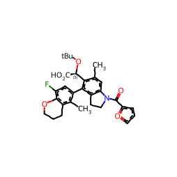 Cc1cc2c(c(-c3cc(F)c4c(c3C)CCCO4)c1[C@H](OC(C)(C)C)C(=O)O)CCN2C(=O)c1ccco1